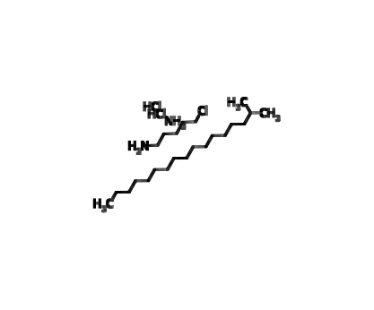 CCCCCCCCCCCCCCCC(C)C.Cl.Cl.N.NCCCCCCl